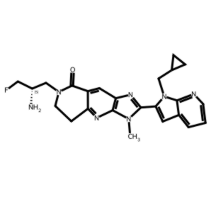 Cn1c(-c2cc3cccnc3n2CC2CC2)nc2cc3c(nc21)CCN(C[C@H](N)CF)C3=O